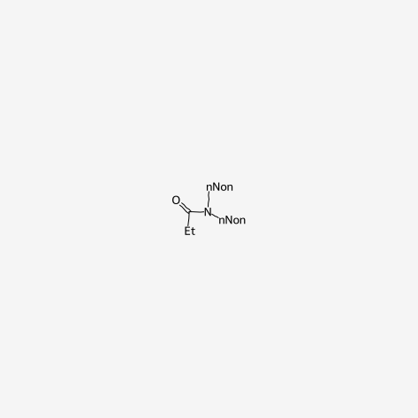 [CH2]CC(=O)N(CCCCCCCCC)CCCCCCCCC